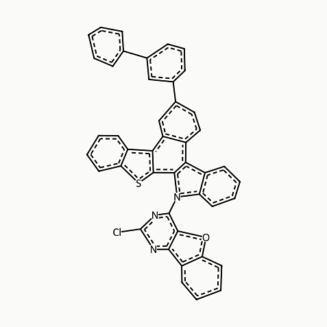 Clc1nc(-n2c3ccccc3c3c4ccc(-c5cccc(-c6ccccc6)c5)cc4c4c5ccccc5sc4c32)c2oc3ccccc3c2n1